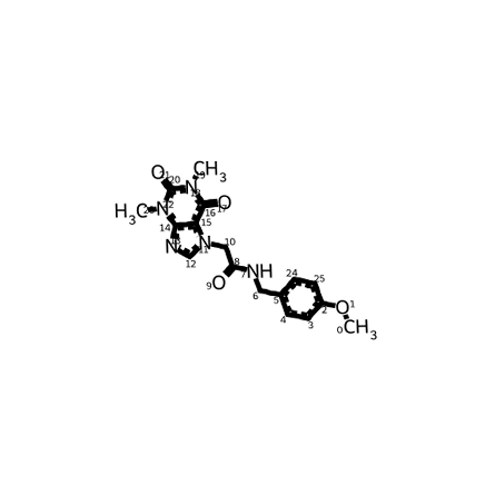 COc1ccc(CNC(=O)Cn2cnc3c2c(=O)n(C)c(=O)n3C)cc1